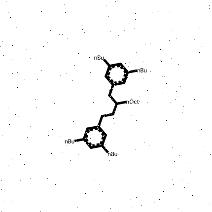 CCCCCCCCC([CH]Cc1cc(CCCC)cc(CCCC)c1)Cc1cc(CCCC)cc(CCCC)c1